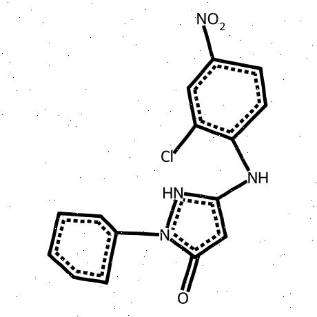 O=c1cc(Nc2ccc([N+](=O)[O-])cc2Cl)[nH]n1-c1ccccc1